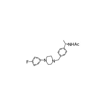 CC(=O)N[C@H](C)c1ccc(CN2CCN(c3ccc(F)cc3)CC2)cc1